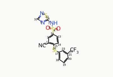 N#Cc1cc(S(=O)(=O)Nc2ncns2)ccc1Sc1cccc(C(F)(F)F)c1